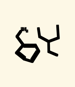 BCc1ccccc1.CC[C](CC)CC